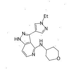 CCn1cc(-c2n[nH]c3ccnc(NC4CCOCC4)c23)cn1